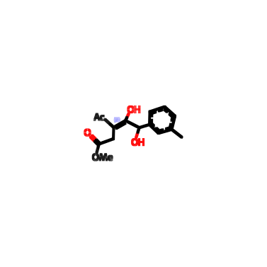 COC(=O)C/C(C(C)=O)=C(/O)C(O)c1cccc(C)c1